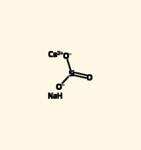 O=[Si]([O-])[O-].[Ca+2].[NaH]